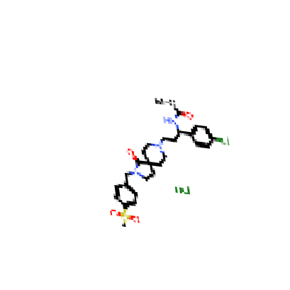 COC(=O)NC(CCN1CCC2(CC1)CCN(Cc1ccc(S(C)(=O)=O)cc1)C2=O)c1ccc(Cl)cc1.Cl